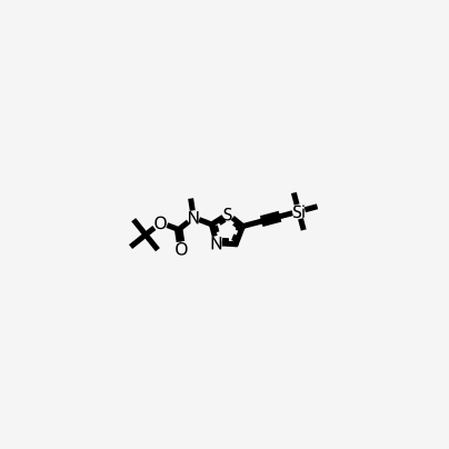 CN(C(=O)OC(C)(C)C)c1ncc(C#C[Si](C)(C)C)s1